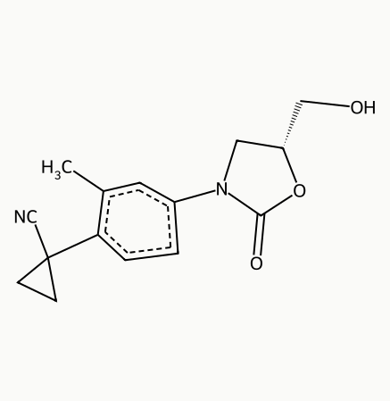 Cc1cc(N2C[C@H](CO)OC2=O)ccc1C1(C#N)CC1